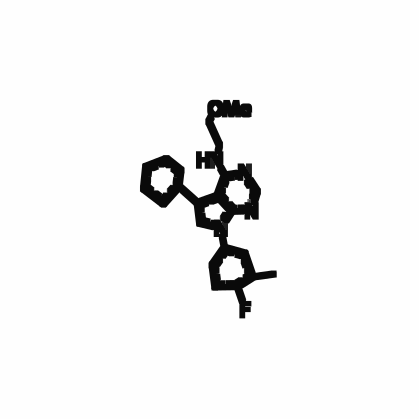 COCCNc1ncnc2c1c(-c1ccccc1)cn2-c1ccc(F)c(C)c1